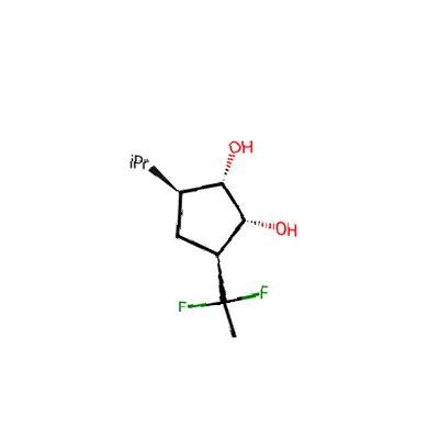 CC(C)[C@@H]1C[C@H](C(C)(F)F)[C@@H](O)[C@H]1O